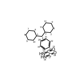 C1CCC(CC2CCCCC2)CC1.N=C=O.N=C=O.c1ccccc1